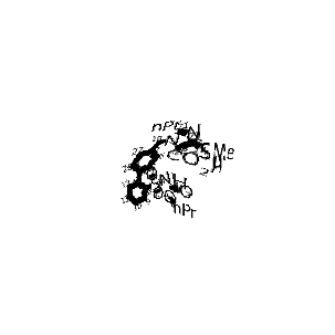 CCCOC(=O)NS(=O)(=O)c1ccccc1-c1ccc(Cn2c(CCC)nc(SC)c2C(=O)O)cc1